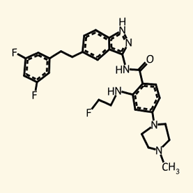 CN1CCN(c2ccc(C(=O)Nc3n[nH]c4ccc(CCc5cc(F)cc(F)c5)cc34)c(NCCF)c2)CC1